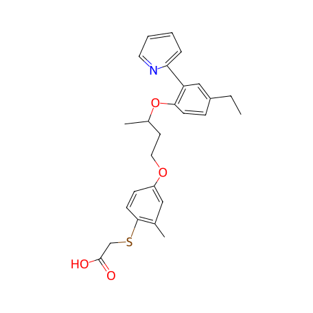 CCc1ccc(OC(C)CCOc2ccc(SCC(=O)O)c(C)c2)c(-c2ccccn2)c1